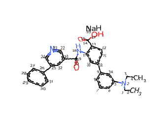 CCN(CC)c1cccc(-c2ccc(C(=O)O)c(NC(=O)c3cncc(-c4ccccc4)c3)c2)c1.[NaH]